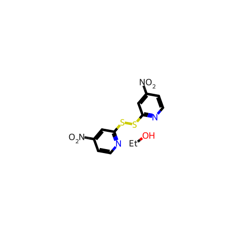 CCO.O=[N+]([O-])c1ccnc(SSc2cc([N+](=O)[O-])ccn2)c1